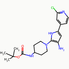 CC(C)(C)OC(=O)NC1CCN(c2[nH]c(-c3ccnc(Cl)c3)cc2N)CC1